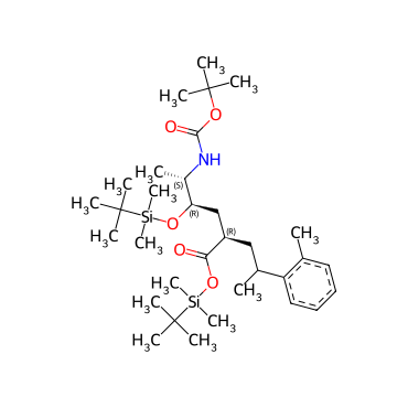 Cc1ccccc1C(C)C[C@H](C[C@@H](O[Si](C)(C)C(C)(C)C)[C@H](C)NC(=O)OC(C)(C)C)C(=O)O[Si](C)(C)C(C)(C)C